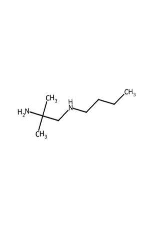 CCCCNCC(C)(C)N